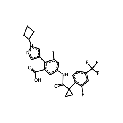 Cc1cc(NC(=O)C2(c3ccc(C(F)(F)F)cc3F)CC2)cc(C(=O)O)c1-c1cnn(C2CCC2)c1